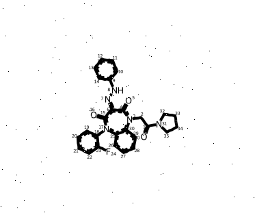 O=C(Cn1c(=O)/c(=N\Nc2ccccc2)c(=O)n(-c2ccccc2F)c2ccccc21)N1CCCC1